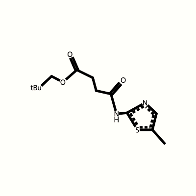 Cc1cnc(NC(=O)CCC(=O)OCC(C)(C)C)s1